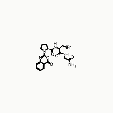 CC(C)C[C@H](NC(=O)[C@@H]1CCCN1c1nc2ccccc2c(=O)o1)C(=O)NCC(N)=O